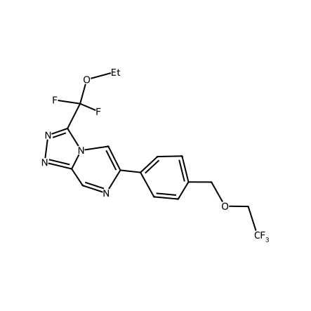 CCOC(F)(F)c1nnc2cnc(-c3ccc(COCC(F)(F)F)cc3)cn12